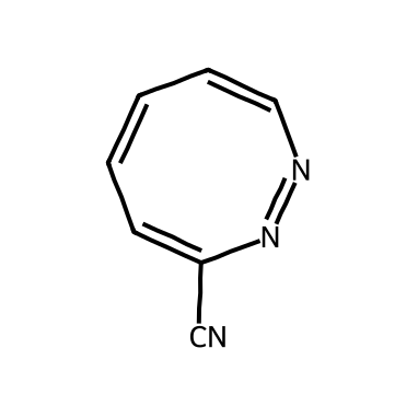 N#CC1=CC=CC=CN=N1